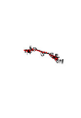 CCOc1ccc(-c2ccc(OCCCCCCCCC(=O)CCCCCCCCOc3ccc(-c4ccc(O)c(F)c4F)c(F)c3)cc2F)c(F)c1F